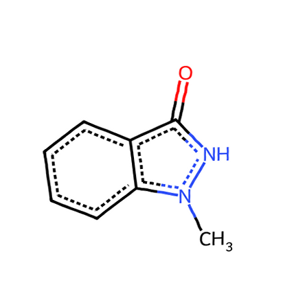 Cn1[nH]c(=O)c2ccccc21